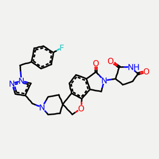 O=C1CCC(N2Cc3c(ccc4c3OCC43CCN(Cc4cnn(Cc5ccc(F)cc5)c4)CC3)C2=O)C(=O)N1